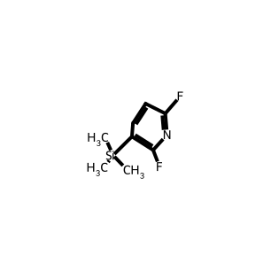 C[Si](C)(C)c1ccc(F)nc1F